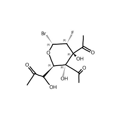 CC(=O)C(O)[C@H]1O[C@H](Br)[C@H](F)[C@](O)(C(C)=O)[C@@]1(O)C(C)=O